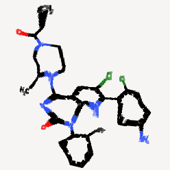 C=CC(=O)N1CCN(c2nc(=O)n(-c3ccccc3C(C)C)c3nc(-c4cc(N)ccc4Cl)c(Cl)cc23)[C@@H](C)C1